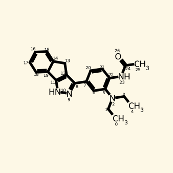 CCN(CC)c1cc(-c2n[nH]c3c2Cc2ccccc2-3)ccc1NC(C)=O